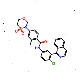 Cc1cc(N2COCCS2(=O)=O)ccc1C(=O)Nc1ccc(Cl)c(-c2nccc3ccccc23)c1